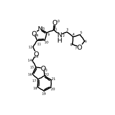 O=C(NCC1CCOC1)c1cc(COCc2cc3ccccc3o2)on1